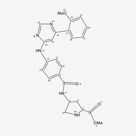 COC(=O)C1CC(NC(=O)c2ccc(Nc3cc(-c4ccccc4OC)ncn3)cc2)CN1